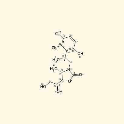 C[C@@H](CN1C(=O)O[C@H]([C@@H](O)CO)[C@@H]1C)c1c(O)ccc(Cl)c1Cl